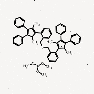 CC1=C(c2ccccc2CSCc2ccccc2C2=C(C)C(c3ccccc3)=C(c3ccccc3)C2C)C(C)C(c2ccccc2)=C1c1ccccc1.C[O][Ti]([O]C)[O]C